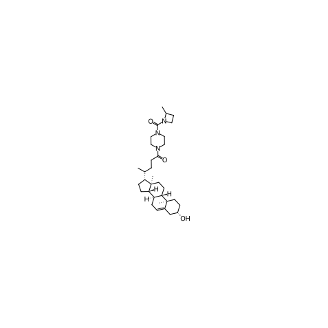 CC(CCC(=O)N1CCN(C(=O)N2CCC2C)CC1)[C@H]1CC[C@H]2[C@@H]3CC=C4C[C@@H](O)CC[C@]4(C)[C@H]3CC[C@]12C